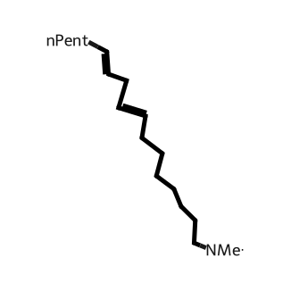 CCCCC/C=C/C/C=C/CCCCCCC[N]C